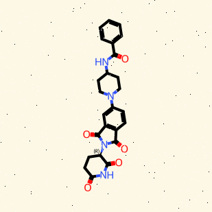 O=C1CC[C@@H](N2C(=O)c3ccc(N4CCC(NC(=O)c5ccccc5)CC4)cc3C2=O)C(=O)N1